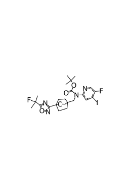 CC(C)(C)OC(=O)N(CC12CCC(c3noc(C(C)(C)F)n3)(CC1)CC2)c1cc(I)c(F)cn1